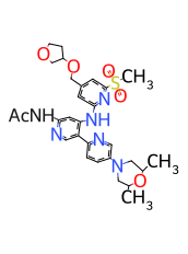 CC(=O)Nc1cc(Nc2cc(COC3CCOC3)cc(S(C)(=O)=O)n2)c(-c2ccc(N3CC(C)OC(C)C3)cn2)cn1